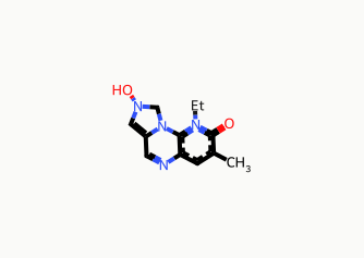 CCn1c2c(cc(C)c1=O)N=CC1=CN(O)CN12